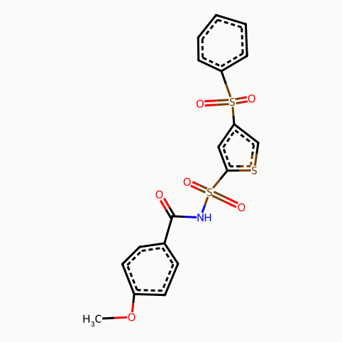 COc1ccc(C(=O)NS(=O)(=O)c2cc(S(=O)(=O)c3ccccc3)cs2)cc1